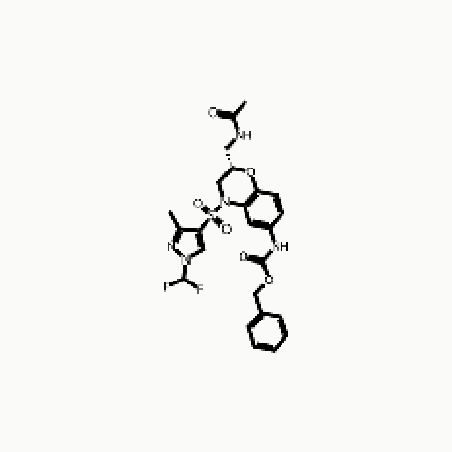 CC(=O)NC[C@H]1CN(S(=O)(=O)c2cn(C(F)F)nc2C)c2cc(NC(=O)OCc3ccccc3)ccc2O1